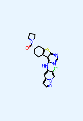 O=C([C@H]1CCc2c(sc3ncnc(Nc4cc5ccnn5cc4Cl)c23)C1)N1CCCC1